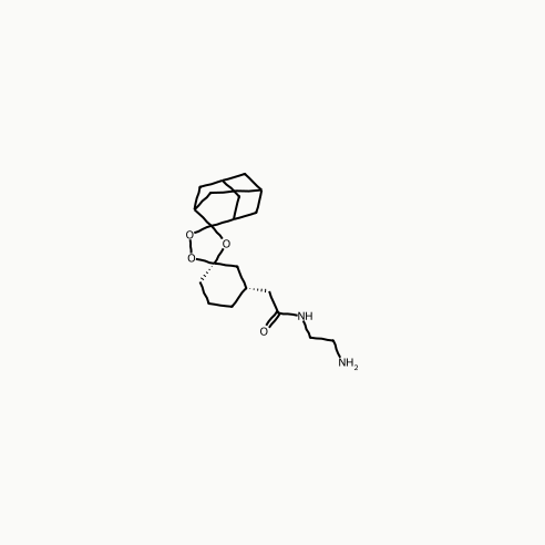 NCCNC(=O)C[C@@H]1CCC[C@]2(C1)OOC1(O2)C2CC3CC(C2)CC1C3